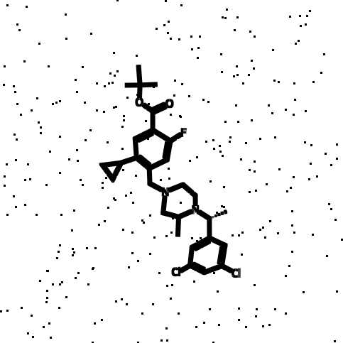 CC1CN(Cc2cc(F)c(C(=O)OC(C)(C)C)cc2C2CC2)CCN1[C@H](C)c1cc(Cl)cc(Cl)c1